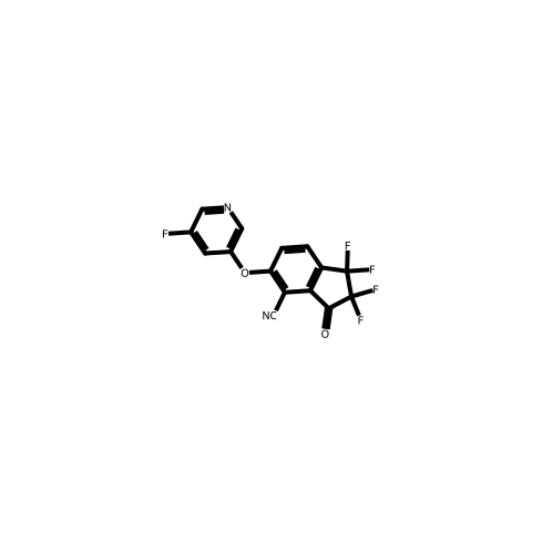 N#Cc1c(Oc2cncc(F)c2)ccc2c1C(=O)C(F)(F)C2(F)F